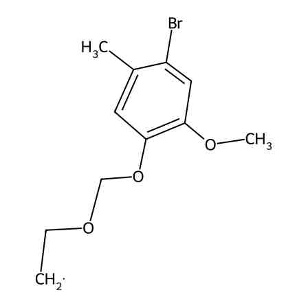 [CH2]COCOc1cc(C)c(Br)cc1OC